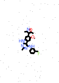 COc1cc2c(cc1-c1c(C)noc1C)[nH]c1nc(C)nc(Nc3cccc(CF)c3)c12